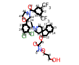 CN(OCCCO)C(=O)CO[C@H]1Cc2ccccc2C12CCN(CC[C@@]1(c3ccc(Cl)c(Cl)c3)CN(C(=O)c3cc(C(F)(F)F)cc(C(F)(F)F)c3)CCO1)CC2